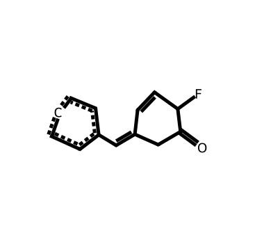 O=C1CC(=Cc2ccccc2)C=CC1F